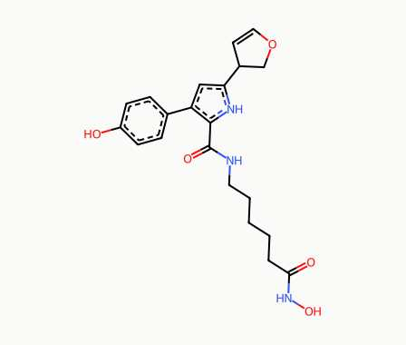 O=C(CCCCCNC(=O)c1[nH]c(C2C=COC2)cc1-c1ccc(O)cc1)NO